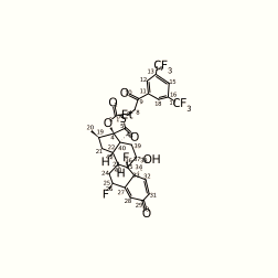 CCC(=O)O[C@]1(C(=O)SCC(=O)c2cc(C(F)(F)F)cc(C(F)(F)F)c2)[C@H](C)C[C@H]2[C@@H]3C[C@H](F)C4=CC(=O)C=C[C@]4(C)[C@@]3(F)[C@@H](O)C[C@@]21C